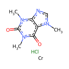 Cl.Cn1c(=O)c2c(ncn2C)n(C)c1=O.[Cr]